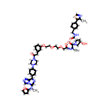 Cc1ncsc1-c1ccc(CNC(=O)[C@@H]2C[C@@H](O)CN2C(=O)[C@@H](NC(=O)COCCOCCOc2cccc(CC(=O)N3CCN(c4ccc(-c5ncc(N(C)c6ccco6)n6cnnc56)cc4)CC3)c2)C(C)(C)C)cc1